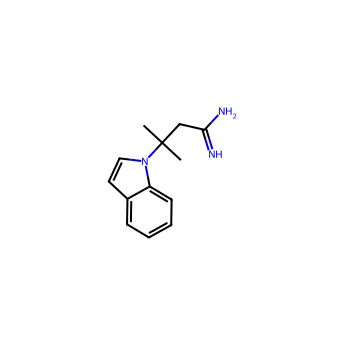 CC(C)(CC(=N)N)n1ccc2ccccc21